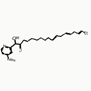 CCC=CCC=CCC=CCCCCCCCC(=O)C(O)c1cc(CCCC)ccn1